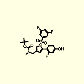 CN(Cc1cc(-c2ccc(O)cc2F)n(S(=O)(=O)c2cc(F)cc(F)c2)c1)C(=O)OC(C)(C)C